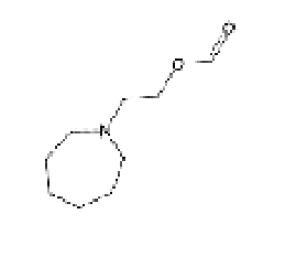 O=COCCN1CCCCCC1